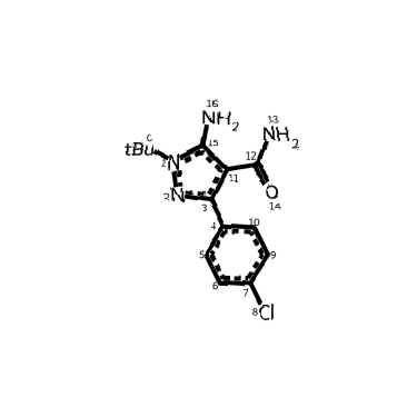 CC(C)(C)n1nc(-c2ccc(Cl)cc2)c(C(N)=O)c1N